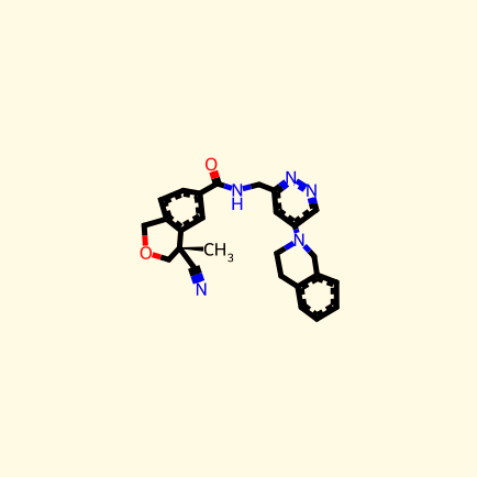 C[C@@]1(C#N)COCc2ccc(C(=O)NCc3cc(N4CCc5ccccc5C4)cnn3)cc21